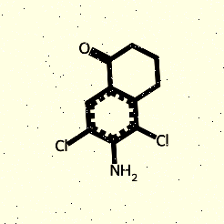 Nc1c(Cl)cc2c(c1Cl)CCCC2=O